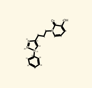 O=c1c(O)cccn1CCCc1cn(-c2ccccc2)nn1